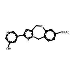 CC(=O)Nc1ccc2c(c1)OCc1cc(-c3cncc(O)c3)nn1C2